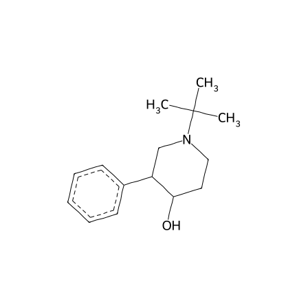 CC(C)(C)N1CCC(O)C(c2ccccc2)C1